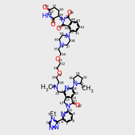 CCn1cnnc1-c1cccc(N2Cc3c(cc(N4CCC[C@H]4C)nc3CN(C)CCOCCOCCN3CCN(c4cccc5c4C(=O)N(C4CCC(=O)NC4=O)C5=O)CC3)C2=O)n1